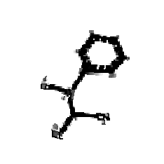 CCC(C#N)N(CC)c1ccccc1